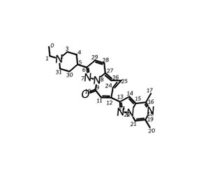 CCN1CCC(C2=NN3C(=O)\C=C(c4cc5c(C)nc(C)cn5n4)/C=C/C=C/3C=C2)CC1